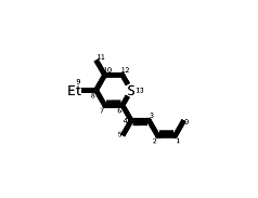 C/C=C\C=C(/C)C1=CC(CC)C(C)CS1